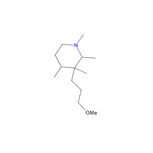 COCCCC1(C)C(C)CCN(C)C1C